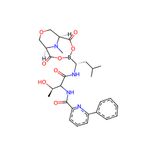 CC(C)C[C@H](NC(=O)C(NC(=O)c1cccc(-c2ccccc2)n1)[C@@H](C)O)B1OC(=O)[C@H]2COC[C@@H](C(=O)O1)N2C